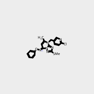 CSc1nc2n(Cc3ccc(Cl)nc3)c(C)c/c(=N\Oc3ccccc3)n2n1